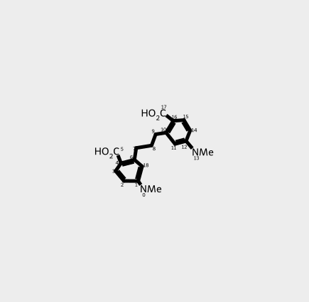 CNc1ccc(C(=O)O)c(CCCc2cc(NC)ccc2C(=O)O)c1